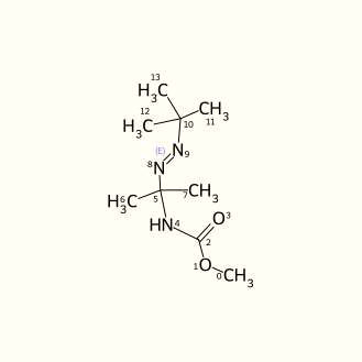 COC(=O)NC(C)(C)/N=N/C(C)(C)C